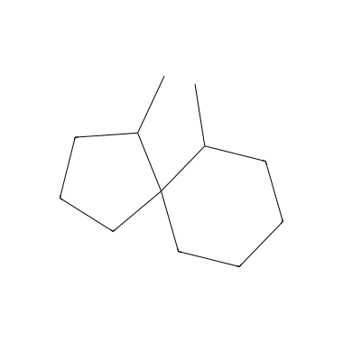 CC1CCCCC12CCCC2C